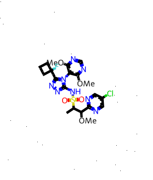 COc1ncnc(OC)c1-n1c(NS(=O)(=O)C(C)C(OC)c2ncc(Cl)cn2)nnc1C1(F)CCC1